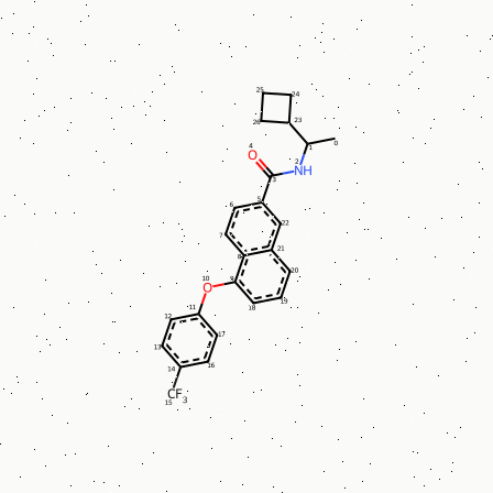 CC(NC(=O)c1ccc2c(Oc3ccc(C(F)(F)F)cc3)cccc2c1)C1CCC1